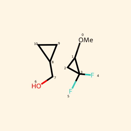 COC1CC1(F)F.OCC1CC1